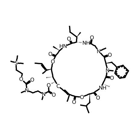 C/C=C(\C)[C@H]1OC(=O)[C@@H](C)NC(=O)[C@H]([C@H](C)CC)NC(=O)CN(C)C(=O)[C@@H](Cc2ccccc2)N(C)C(=O)[C@H](C)NC(=O)[C@@H](CC(C)C)OC(=O)/C(C)=C/C[C@H](OC(=O)N(C)CCN(C)C(=O)OCCS(C)(C)C)[C@@H]1C